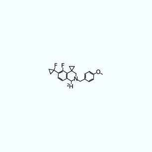 [2H]C1c2ccc(C3(F)CC3)c(F)c2C2(CC2)CN1Cc1ccc(OC)cc1